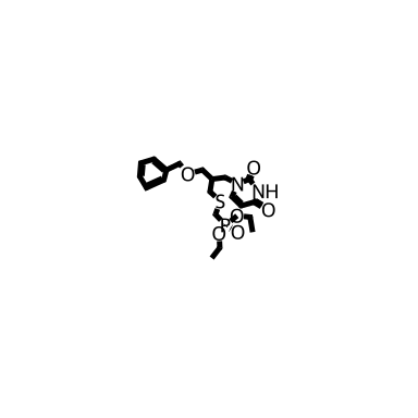 CCOP(=O)(CSCC(COCc1ccccc1)Cn1ccc(=O)[nH]c1=O)OCC